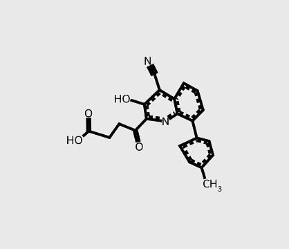 Cc1ccc(-c2cccc3c(C#N)c(O)c(C(=O)CCC(=O)O)nc23)cc1